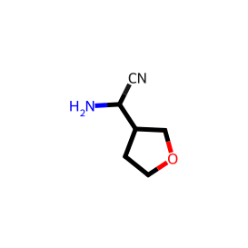 N#CC(N)C1CCOC1